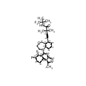 Cc1nnc2nc(N3CCOCc4c(C#CC(C)(C)C(=O)NC(C)(C)C(F)(F)F)cccc43)c3c(F)c(F)ccc3n12